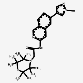 BC1(B)OC(B)(B)C(B)(B)N(CC(=O)Nc2cc3cc(-c4cnn(C)c4)ccc3cn2)C1(B)B